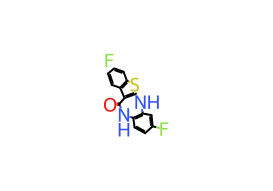 O=C1Nc2ccc(F)cc2Nc2sc3cc(F)ccc3c21